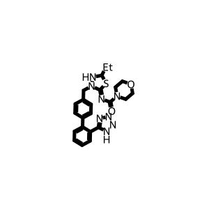 CCC1NN(Cc2ccc(-c3ccccc3-c3nnn[nH]3)cc2)C(=NC(=O)N2CCOCC2)S1